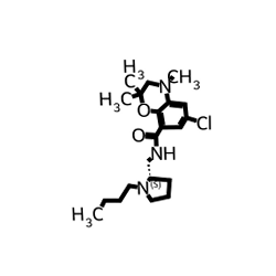 CCCCN1CCC[C@H]1CNC(=O)c1cc(Cl)cc2c1OC(C)(C)CN2C